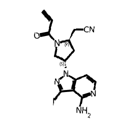 C=CC(=O)N1C[C@@H](n2nc(I)c3c(N)nccc32)C[C@@H]1CC#N